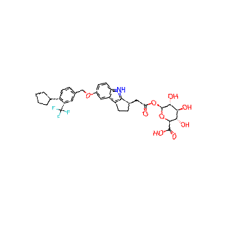 O=C(C[C@H]1CCc2c1[nH]c1ccc(OCc3ccc(C4CCCC4)c(C(F)(F)F)c3)cc21)O[C@@H]1O[C@H](C(=O)O)[C@@H](O)[C@H](O)[C@H]1O